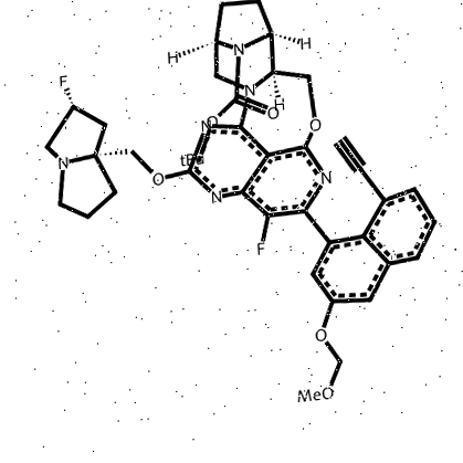 C#Cc1cccc2cc(OCOC)cc(-c3nc4c5c(nc(OC[C@]67CCCN6C[C@H](F)C7)nc5c3F)N3C[C@H]5CC[C@@H]([C@H]3CO4)N5C(=O)OC(C)(C)C)c12